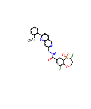 COc1ccccc1-c1ccc2cnc(CNC(=O)c3cc(F)c4c(c3)S(=O)(=O)[C@@H](F)CCO4)cc2n1